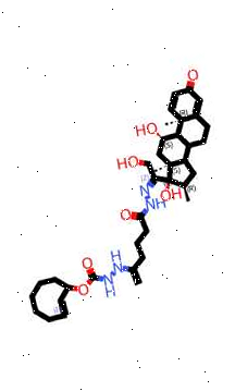 C=C(CCCC(=O)N/N=C(/CO)[C@@]1(O)[C@H](C)CC2C3CCC4=CC(=O)C=C[C@]4(C)C3[C@@H](O)C[C@@]21C)NNC(=O)OC1/C=C/CCCCC1